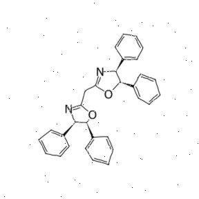 c1ccc([C@H]2N=C(CC3=N[C@@H](c4ccccc4)[C@@H](c4ccccc4)O3)O[C@H]2c2ccccc2)cc1